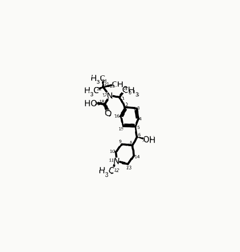 CC(c1ccc([C@@H](O)C2CCN(C)CC2)cc1)N(C(=O)O)C(C)(C)C